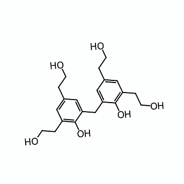 OCCc1cc(CCO)c(O)c(Cc2cc(CCO)cc(CCO)c2O)c1